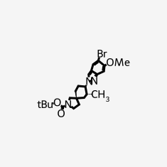 COc1cc2nn([C@@H]3CC[C@]4(CCN(C(=O)OC(C)(C)C)C4)C[C@H]3C)cc2cc1Br